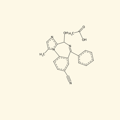 CC(=O)O.Cc1cnc2n1-c1ccc(C#N)cc1C(c1ccccc1)=NC2O